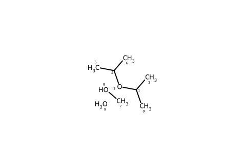 CC(C)OC(C)C.CO.O